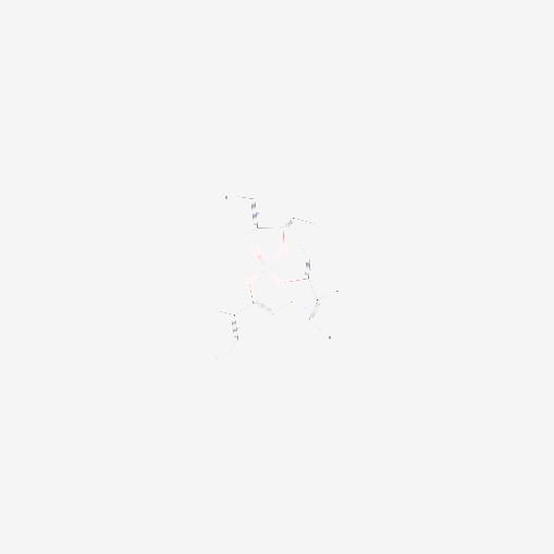 CC/C=C(OP(=O)(OC(=C\CC)/C(=C/CCC)CC)OC(=C\CC)/C(=C/CCC)CC)/C(=C/CCC)CC